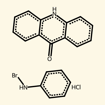 BrNc1ccccc1.Cl.O=c1c2ccccc2[nH]c2ccccc12